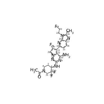 CC(=O)N1CC[C@@H](Nc2nc(N)c3c(-c4ccc5nc(C)n(CCF)c5n4)c(F)cn3n2)C(F)(F)C1